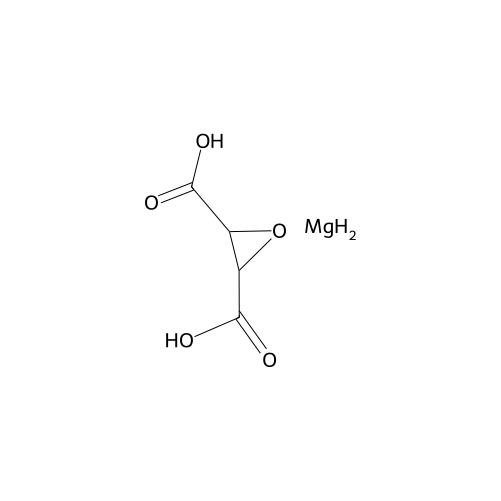 O=C(O)C1OC1C(=O)O.[MgH2]